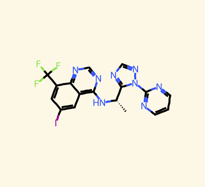 C[C@H](Nc1ncnc2c(C(F)(F)F)cc(I)cc12)c1ncnn1-c1ncccn1